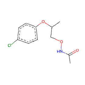 CC(=O)NOCC(C)Oc1ccc(Cl)cc1